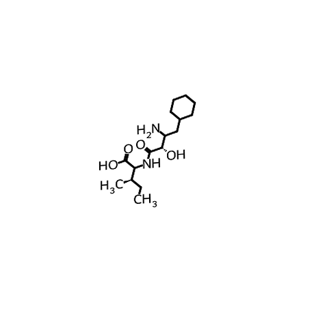 CC[C@@H](C)C(NC(=O)[C@@H](O)C(N)CC1CCCCC1)C(=O)O